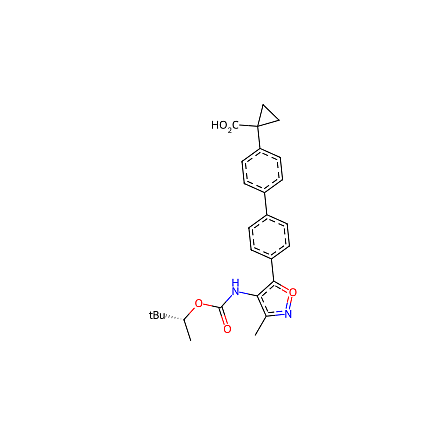 Cc1noc(-c2ccc(-c3ccc(C4(C(=O)O)CC4)cc3)cc2)c1NC(=O)O[C@H](C)C(C)(C)C